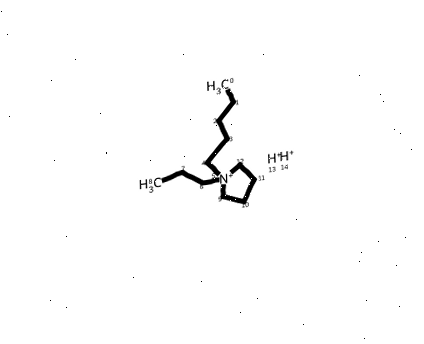 CCCCC[N+]1(CCC)CCCC1.[H+].[H+]